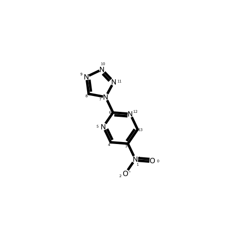 O=[N+]([O-])c1cnc(-n2cnnn2)nc1